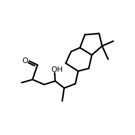 CC(C=O)CC(O)C(C)CC1CCC2CCC(C)(C)C2C1